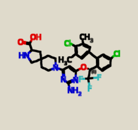 Cc1cc(-c2cc(Cl)ccc2[C@@H](Oc2cc(N3CCC4(CC3)CNC(C(=O)O)C4)nc(N)n2)C(F)(F)F)cc(C)c1Cl